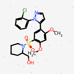 COc1cc(OC)c(S(=O)(=O)N2CCCCC2CO)cc1-c1ccnn1-c1ccccc1Cl